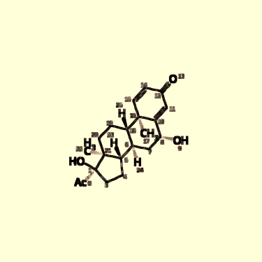 CC(=O)[C@@]1(O)CC[C@H]2[C@@H]3C[C@@H](O)C4=CC(=O)C=C[C@]4(C)[C@H]3CC[C@@]21C